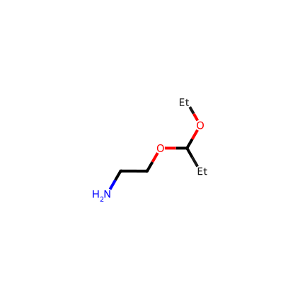 CCOC(CC)OCCN